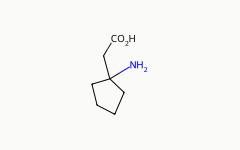 NC1(CC(=O)O)CCCC1